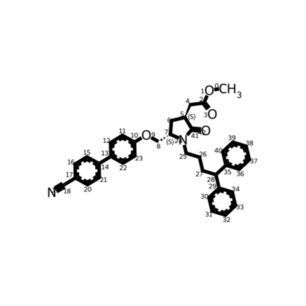 COC(=O)C[C@@H]1C[C@@H](COc2ccc(-c3ccc(C#N)cc3)cc2)N(CCCC(c2ccccc2)c2ccccc2)C1=O